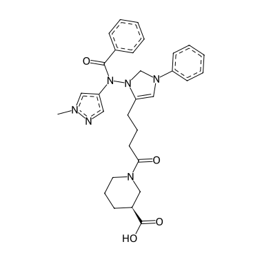 Cn1cc(N(C(=O)c2ccccc2)N2CN(c3ccccc3)C=C2CCCC(=O)N2CCC[C@H](C(=O)O)C2)cn1